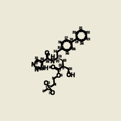 CS(=O)(=O)CCOC(=O)[C@H](CO)C[C@@H](Cc1ccc(-c2ccccc2)cc1)NC(=O)c1cnn[nH]1